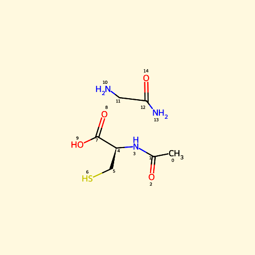 CC(=O)N[C@@H](CS)C(=O)O.NCC(N)=O